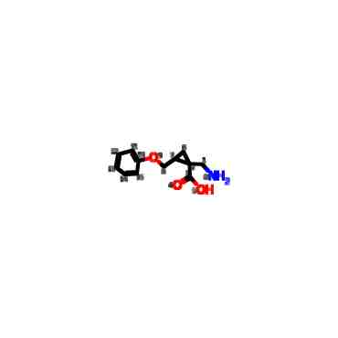 NCC1(C(=O)O)CC1COc1ccccc1